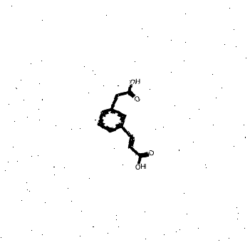 O=C(O)C=Cc1cccc(CC(=O)O)c1